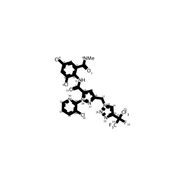 CNC(=O)c1cc(Cl)cc(Cl)c1NC(=O)c1cc(Cn2cc(C(F)(C(F)(F)F)C(F)(F)F)nn2)nn1-c1ncccc1Cl